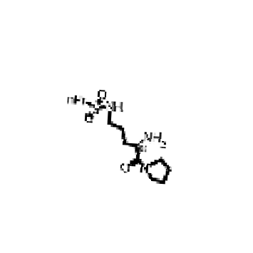 CCCS(=O)(=O)NCCC[C@H](N)C(=O)N1CCCC1